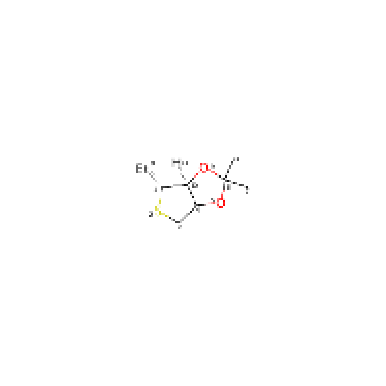 CC[C@H]1SCC2OC(C)(C)O[C@@H]21